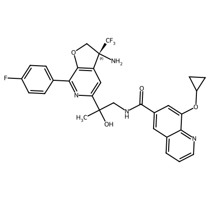 CC(O)(CNC(=O)c1cc(OC2CC2)c2ncccc2c1)c1cc2c(c(-c3ccc(F)cc3)n1)OC[C@@]2(N)C(F)(F)F